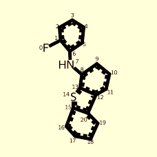 Fc1ccccc1Nc1cccc2c1sc1ccccc12